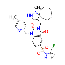 Cc1ccc(Cn2c(=O)n(CC3CNN(C)C34CCCCCCC4)c(=O)c3cc(S(=O)(=O)NC4(CF)CC4)ccc32)nc1